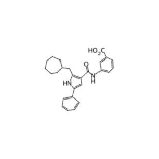 O=C(O)c1cccc(NC(=O)c2cc(-c3ccccc3)[nH]c2CC2CCCCCC2)c1